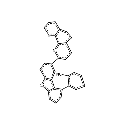 N#Cc1ccccc1-c1cccc2sc3ccc(-c4ccc5ccc6cccnc6c5n4)cc3c12